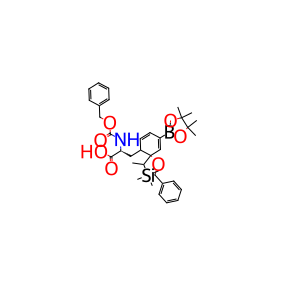 CC(C1(OCc2ccccc2)C=C(B2OC(C)(C)C(C)(C)O2)C=CC1C[C@H](NC(=O)OCc1ccccc1)C(=O)O)[Si](C)(C)C